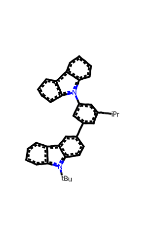 CC(C)c1cc(-c2ccc3c(c2)c2ccccc2n3C(C)(C)C)cc(-n2c3ccccc3c3ccccc32)c1